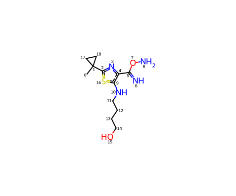 CC1(c2nc(C(=N)ON)c(NCCCCO)s2)CC1